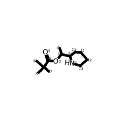 CC(OC(=O)C(C)(C)C)C1CCCCN1